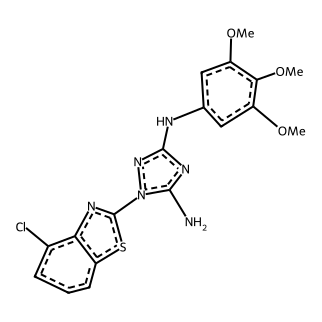 COc1cc(Nc2nc(N)n(-c3nc4c(Cl)cccc4s3)n2)cc(OC)c1OC